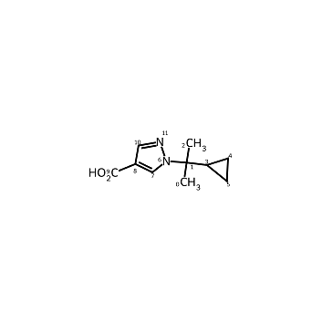 CC(C)(C1CC1)n1cc(C(=O)O)cn1